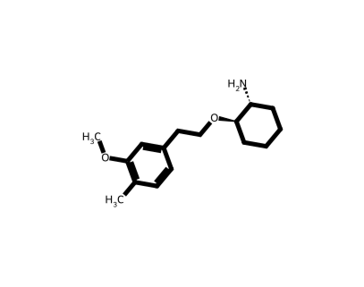 COc1cc(CCO[C@@H]2CCCC[C@H]2N)ccc1C